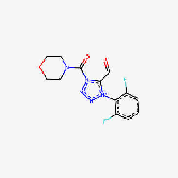 O=Cc1n(C(=O)N2CCOCC2)nn[n+]1-c1c(F)cccc1F